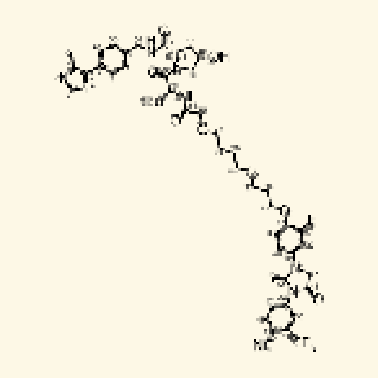 Cc1ncsc1-c1ccc(CNC(=O)[C@@H]2C[C@@H](O)CN2C(=O)[C@@H](NC(=O)COCCCCOCCCOc2ccc(N3CC(=O)N(c4ccc(C#N)c(C(F)(F)F)c4)C3=S)cc2F)C(C)(C)C)cc1